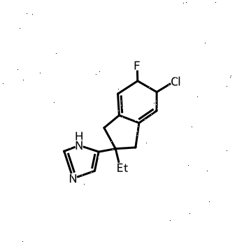 CCC1(c2cnc[nH]2)CC2=CC(F)C(Cl)C=C2C1